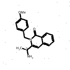 COc1ccc(Cn2c([C@H](C)N)cc3ccccc3c2=O)cc1